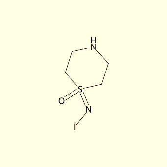 O=S1(=NI)CCNCC1